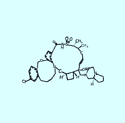 CO[C@]1(CN2CCN3CCC[C@H]3C2)/C=C/C[C@H](C)[C@@H](C)S(=O)(=O)NC(=O)c2ccc3c(c2)N(CCCCc2cc(Cl)ccc2CO3)C[C@@H]2CC[C@H]21